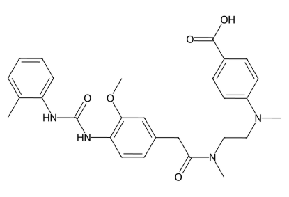 COc1cc(CC(=O)N(C)CCN(C)c2ccc(C(=O)O)cc2)ccc1NC(=O)Nc1ccccc1C